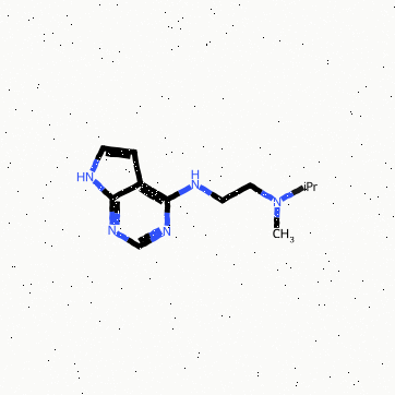 CC(C)N(C)CCNc1ncnc2[nH]ccc12